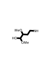 COC(O)C(CC[NH])OC